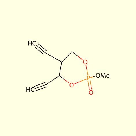 C#CC1COP(=O)(OC)OC1C#C